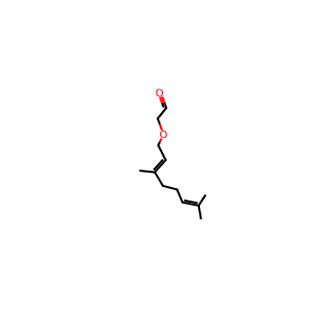 CC(C)=CCCC(C)=CCOCC=O